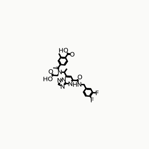 Cc1cc([C@H](C)N(CC(=O)O)C(C)c2cc(C(=O)NCc3ccc(F)c(F)c3)nc3ncnn23)ccc1C(=O)O